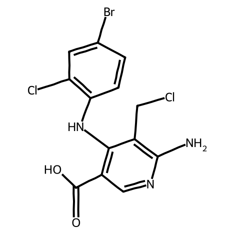 Nc1ncc(C(=O)O)c(Nc2ccc(Br)cc2Cl)c1CCl